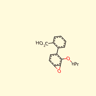 CCCOc1c(-c2ccccc2C(=O)O)ccc2c1O2